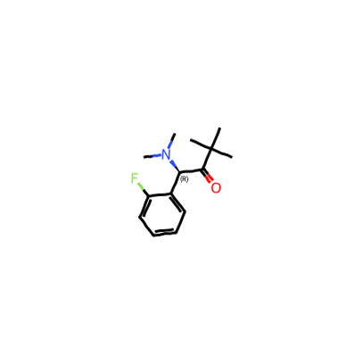 CN(C)[C@@H](C(=O)C(C)(C)C)c1ccccc1F